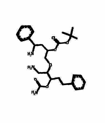 CC(C)(C)OC(=O)OC(COC(CN)C(CCc1ccccc1)OC(N)=O)CC(N)c1ccccc1